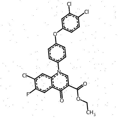 CCOC(=O)c1cn(-c2ccc(Oc3ccc(Cl)c(Cl)c3)cc2)c2cc(Cl)c(F)cc2c1=O